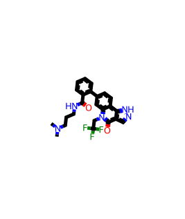 CN(C)CCCNC(=O)c1ccccc1-c1ccc2c3[nH]ncc3c(=O)n(CC(F)(F)F)c2c1